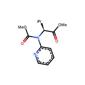 COC(=O)[C@H](C(C)C)N(C(=O)OC)c1ccccn1